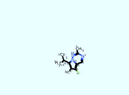 Cc1ncc2c(F)c(C#N)c(C(C)C(F)(F)F)n2n1